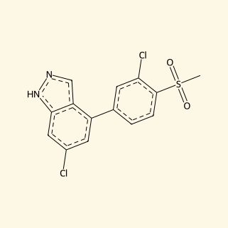 CS(=O)(=O)c1ccc(-c2cc(Cl)cc3[nH]ncc23)cc1Cl